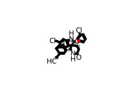 C#Cc1ccc(N)c([C@H]2NC(=O)C[C@@H](c3cccc(Cl)c3)[C@]23C(=O)Nc2cc(Cl)ccc23)c1